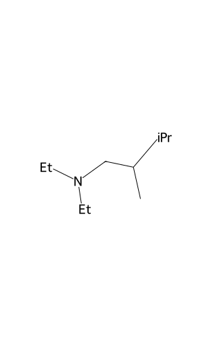 CCN(CC)CC(C)C(C)C